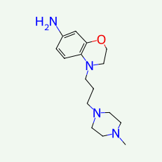 CN1CCN(CCCN2CCOc3cc(N)ccc32)CC1